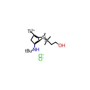 CC(C)(C)NC1=C2C(=[C]([Ti+2])C1)[Si]2(C)[Si](C)(C)CCO.[Cl-].[Cl-]